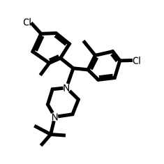 Cc1cc(Cl)ccc1C(c1ccc(Cl)cc1C)N1CCN(C(C)(C)C)CC1